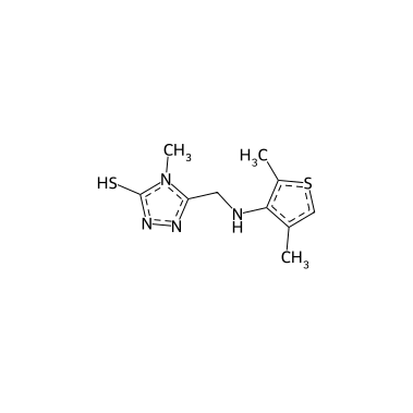 Cc1csc(C)c1NCc1nnc(S)n1C